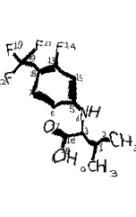 CC(C)[C@H](Nc1ccc(C(F)(F)F)c(F)c1)C(=O)O